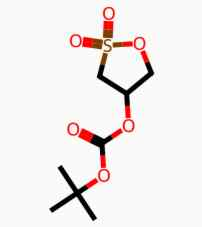 CC(C)(C)OC(=O)OC1COS(=O)(=O)C1